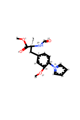 COC(=O)[C@](C)(Cc1ccc(-n2cccc2)c(OC)c1)NC=O